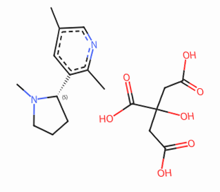 Cc1cnc(C)c([C@@H]2CCCN2C)c1.O=C(O)CC(O)(CC(=O)O)C(=O)O